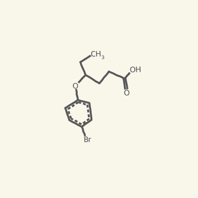 CCC(CCC(=O)O)Oc1ccc(Br)cc1